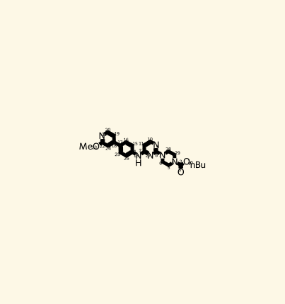 CCCCOC(=O)N1CCN(c2nccc(Nc3ccc(-c4ccnc(OC)c4)cc3)n2)CC1